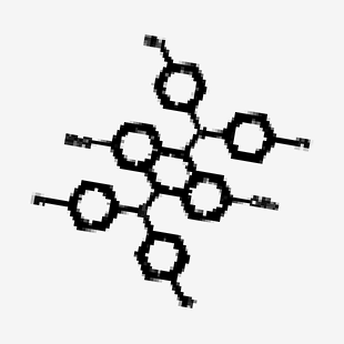 COc1ccc2c(N(c3ccc(C(C)C)cc3)c3ccc(C(C)(C)C)cc3)c3cc(OC)ccc3c(N(c3ccc(C(C)C)cc3)c3ccc(C(C)C)cc3)c2c1